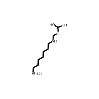 CCCCCCCCCCCCCCNCOB(O)O